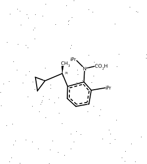 CC(C)c1cccc([C@H](C)C2CC2)c1N(C(=O)O)C(C)C